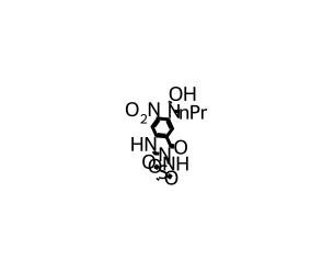 CCCN(CO)c1cc2c(=O)n(NS(C)(=O)=O)c(=O)[nH]c2cc1[N+](=O)[O-]